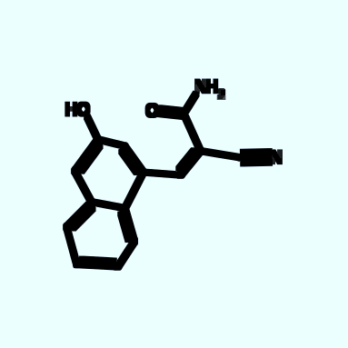 N#C/C(=C/c1cc(O)cc2ccccc12)C(N)=O